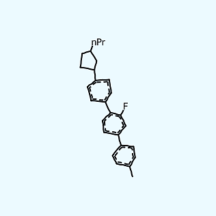 CCCC1CCC(c2ccc(-c3ccc(-c4ccc(C)cc4)cc3F)cc2)C1